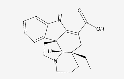 CC[C@]12CCCN3CC[C@@]4(C(=C(C(=O)O)C1)Nc1ccccc14)[C@@H]32